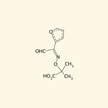 CC(C)(ON=C([C]=O)c1ccco1)C(=O)O